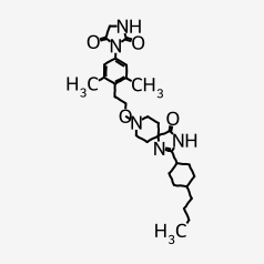 CCCCC1CCC(C2=NC3(CCN(OCCc4c(C)cc(N5C(=O)CNC5=O)cc4C)CC3)C(=O)N2)CC1